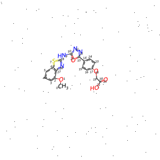 COc1cccc2sc(Nc3nnc(-c4ccc(OCC(=O)O)cc4)o3)nc12